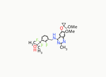 COCC1(Oc2cc3c(NCc4cccc(C(F)(F)C(C)(C)O)c4F)nc(C)nc3cc2OC)CC1